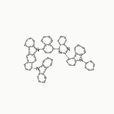 c1ccc(-n2c3ccccc3c3c(-c4nc(-c5ccc(-n6c7ccccc7c7cc8cccc(-n9c%10ccccc%10c%10ccccc%109)c8cc76)c6ccccc56)c5ccccc5n4)cccc32)cc1